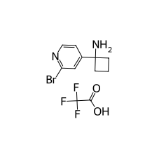 NC1(c2ccnc(Br)c2)CCC1.O=C(O)C(F)(F)F